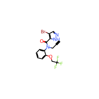 C#CCN(C(=O)c1[nH]ncc1Br)c1ccccc1OCC(F)(F)F